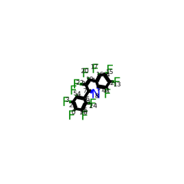 Fc1c(F)c(F)c(-c2nc3c(F)c(F)c(F)c(F)c3c(F)c2F)c(F)c1F